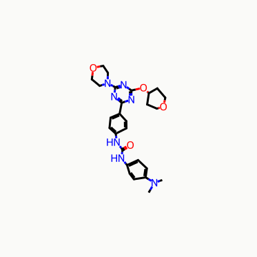 CN(C)c1ccc(NC(=O)Nc2ccc(-c3nc(OC4CCOCC4)nc(N4CCOCC4)n3)cc2)cc1